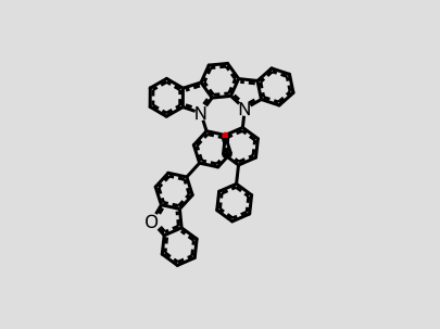 c1ccc(-c2ccc(-n3c4ccccc4c4ccc5c6ccccc6n(-c6cccc(-c7ccc8oc9ccccc9c8c7)c6)c5c43)cc2)cc1